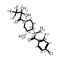 C[C@@H]1CN(C(=O)C(C)(O)C(F)(F)F)CC[C@@H]1N(C)C(=O)c1ccc(Cl)cc1F